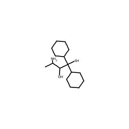 CC(N)C(O)C(S)(C1CCCCC1)C1CCCCC1